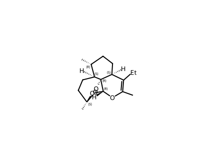 CCC1=C(C)O[C@@H]2O[C@]3(C)CC[C@H]4[C@H](C)CC[C@@H]1[C@@]24OO3